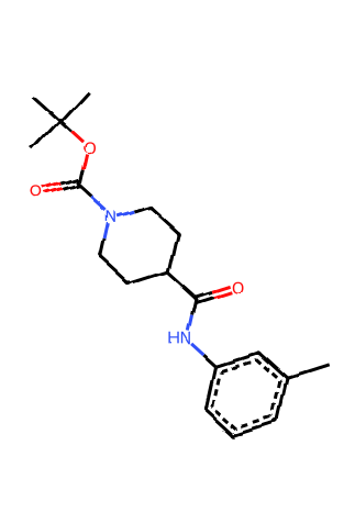 Cc1cccc(NC(=O)C2CCN(C(=O)OC(C)(C)C)CC2)c1